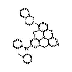 c1ccc2c(c1)Cc1ccccc1N2c1cc2c3c(c1)Sc1cncc4c1B3c1c(ccc(-c3ccc5ccccc5c3)c1O2)S4